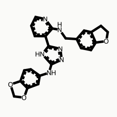 c1cnc(NCc2ccc3c(c2)CCO3)c(-c2nnc(Nc3ccc4c(c3)OCO4)[nH]2)c1